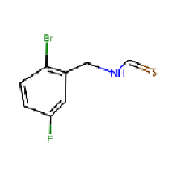 Fc1ccc(Br)c(CNC=S)c1